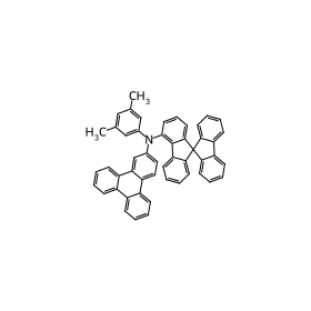 Cc1cc(C)cc(N(c2ccc3c4ccccc4c4ccccc4c3c2)c2cccc3c2-c2ccccc2C32c3ccccc3-c3ccccc32)c1